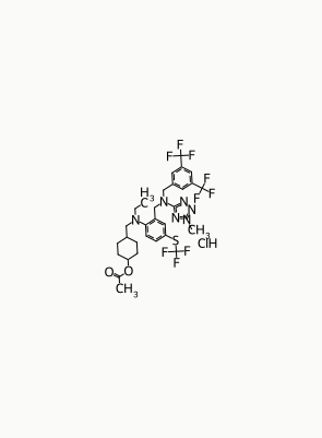 CCN(CC1CCC(OC(C)=O)CC1)c1ccc(SC(F)(F)F)cc1CN(Cc1cc(C(F)(F)F)cc(C(F)(F)F)c1)c1nnn(C)n1.Cl